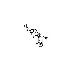 O=C(NCc1c2c(nn1CCC1CC1)C[C@]1(CCc3cc(OCC(F)(F)F)ccc31)NC2=O)c1ncco1